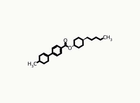 CCCCC[C@H]1CC[C@H](OC(=O)c2ccc(C3=CCC(C)CC3)cc2)CC1